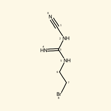 N#CNC(=N)NCCBr